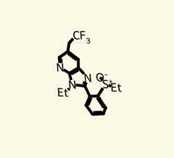 CCn1c(-c2ccccc2[S+]([O-])CC)nc2cc(CC(F)(F)F)cnc21